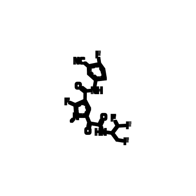 Cn1c(C(=O)C(=O)NC(CF)C(F)F)cc(C(=O)Nc2ccc(F)c(C#N)c2)c1F